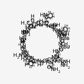 CCCC[C@H]1C(=O)N(C)[C@@H](CCCC)C(=O)N[C@@H](CCCNC(=N)N)C(=O)N[C@H](C(=O)NCC(N)=O)CSCC(=O)N[C@@H](Cc2ccc(F)cc2)C(=O)N(C)[C@@H](C)C(=O)N[C@@H](CC(N)=O)C(=O)N2CCC[C@H]2C(=O)N[C@@H](CN)C(=O)N[C@H]2CC(C)C3[C@H](O)CC(C(=O)N[C@@H](CCc4c[nH]c5ccccc45)C(=O)N[C@@H](CO)C(=O)N[C@@H](Cc4c[nH]c5ccccc45)C(=O)N1C)N3C2=O